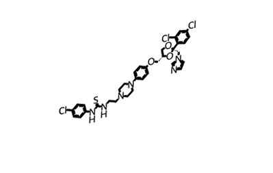 S=C(NCCN1CCN(c2ccc(OC[C@@H]3CO[C@@](Cn4ccnc4)(c4ccc(Cl)cc4Cl)O3)cc2)CC1)Nc1ccc(Cl)cc1